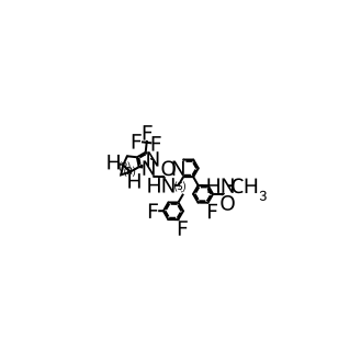 CNC(=O)c1cc(-c2cccnc2[C@H](Cc2cc(F)cc(F)c2)NC(=O)Cn2nc(C(F)(F)F)c3c2[C@@H]2C[C@@H]2C3)ccc1F